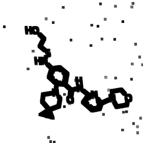 O=C(Nc1cccc(N2CCOCC2)n1)c1ccc(NSCCO)cc1N1CCC2(CC1)CC2